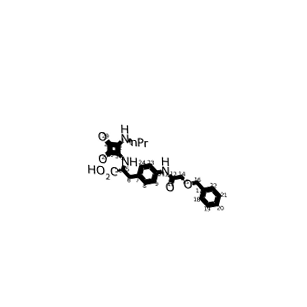 CCCNc1c(N[C@@H](Cc2ccc(NC(=O)COCc3ccccc3)cc2)C(=O)O)c(=O)c1=O